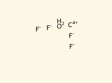 O.[C+4].[F-].[F-].[F-].[F-]